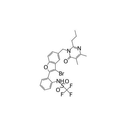 CCCc1nc(C)c(C)c(=O)n1Cc1ccc2oc(-c3ccccc3NS(=O)(=O)C(F)(F)F)c(Br)c2c1